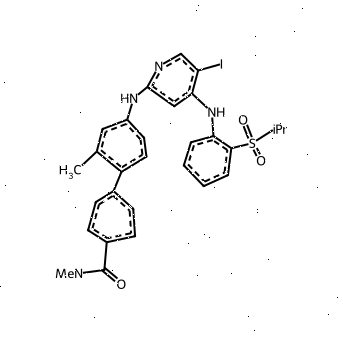 CNC(=O)c1ccc(-c2ccc(Nc3cc(Nc4ccccc4S(=O)(=O)C(C)C)c(I)cn3)cc2C)cc1